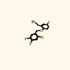 Fc1ccc(OCc2cc(F)c(F)cc2Cl)c(CBr)c1